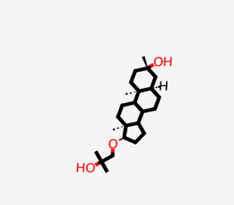 CC(C)(O)CO[C@H]1CCC2C3CC[C@@H]4C[C@@](C)(O)CC[C@]4(C)C3CC[C@@]21C